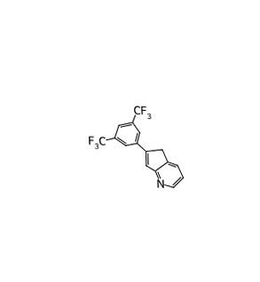 FC(F)(F)c1cc(C2=Cc3ncccc3C2)cc(C(F)(F)F)c1